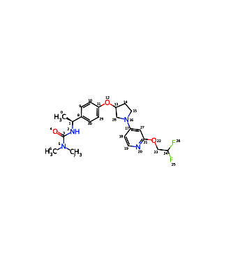 C[C@H](NC(=O)N(C)C)c1ccc(OC2CCN(c3ccnc(OCC(F)F)c3)C2)cc1